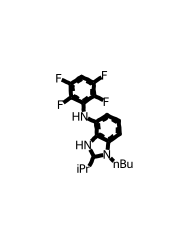 CCCCN1c2cccc(Nc3c(F)c(F)cc(F)c3F)c2NC1C(C)C